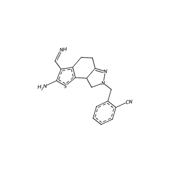 N#Cc1ccccc1CN1CC2C(=N1)CCc1c2sc(N)c1C=N